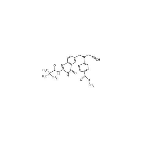 C#CCN(Cc1ccc2nc(NC(=O)C(C)(C)C)[nH]c(=O)c2c1)c1ccc(C(=O)OC)cc1